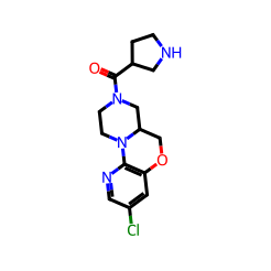 O=C(C1CCNC1)N1CCN2c3ncc(Cl)cc3OCC2C1